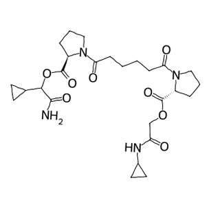 NC(=O)C(OC(=O)[C@H]1CCCN1C(=O)CCCCC(=O)N1CCC[C@@H]1C(=O)OCC(=O)NC1CC1)C1CC1